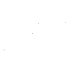 N[C@]12OC[C@@H](O)[C@H]1OC[C@H]2Oc1cc2nc(-c3ccc(OC4CCNC4)cc3)c(F)cc2[nH]1